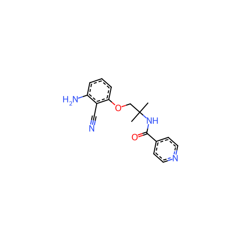 CC(C)(COc1cccc(N)c1C#N)NC(=O)c1ccncc1